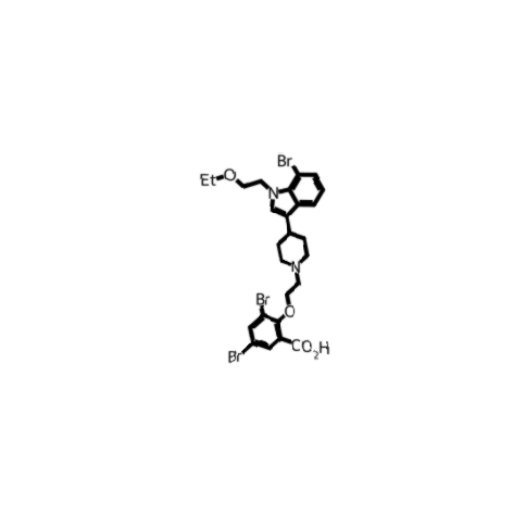 CCOCCn1cc(C2CCN(CCOc3c(Br)cc(Br)cc3C(=O)O)CC2)c2cccc(Br)c21